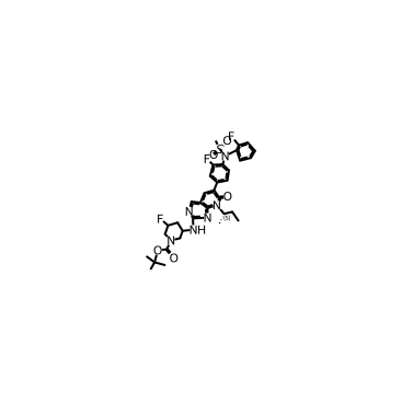 CC[C@H](C)n1c(=O)c(-c2ccc(N(c3ccccc3F)S(C)(=O)=O)c(F)c2)cc2cnc(NC3CC(F)CN(C(=O)OC(C)(C)C)C3)nc21